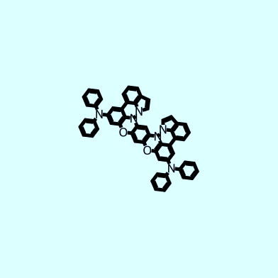 c1ccc(N(c2ccccc2)c2cc3oc4cc5oc6cc(N(c7ccccc7)c7ccccc7)cc7c8cccc9ccn(c98)n(c5cc4n4c3c(c2)c2cccc3ccn4c32)c67)cc1